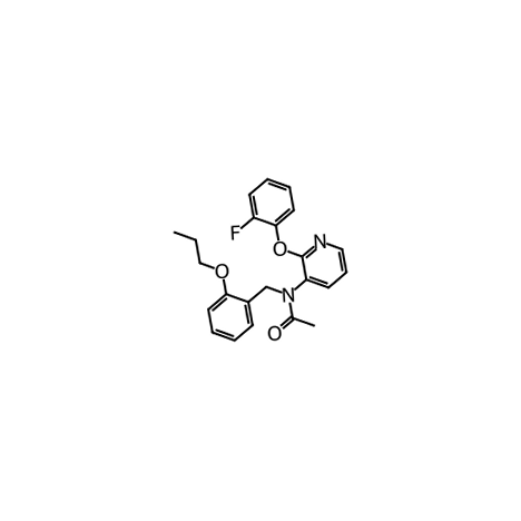 CCCOc1ccccc1CN(C(C)=O)c1cccnc1Oc1ccccc1F